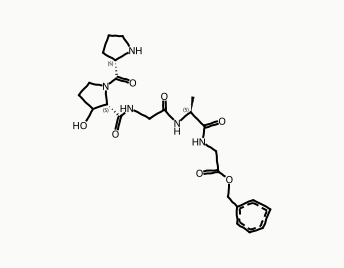 C[C@H](NC(=O)CNC(=O)[C@@H]1C(O)CCN1C(=O)[C@@H]1CCCN1)C(=O)NCC(=O)OCc1ccccc1